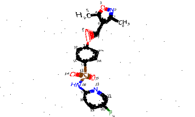 Cc1noc(C)c1COc1ccc(S(=O)(=O)Nc2ccc(F)cn2)cc1